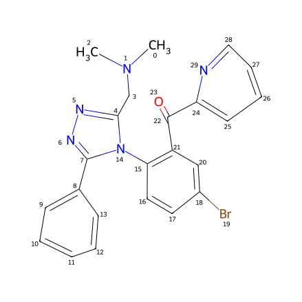 CN(C)Cc1nnc(-c2ccccc2)n1-c1ccc(Br)cc1C(=O)c1ccccn1